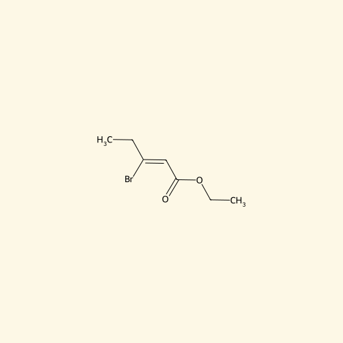 CCOC(=O)C=C(Br)CC